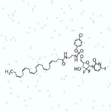 CC/C=C\C/C=C\C/C=C\C/C=C\C/C=C\C/C=C\CCC(=O)NCCNP(=O)(OC[C@H]1O[C@@H](n2ccc(I)nc2=O)C(F)(F)[C@@H]1O)Oc1ccc(Cl)cc1